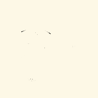 COc1ccc(F)c(-c2ccc(CC(C)C)cc2CN2[C@H](C)CCC[C@@H]2C)c1